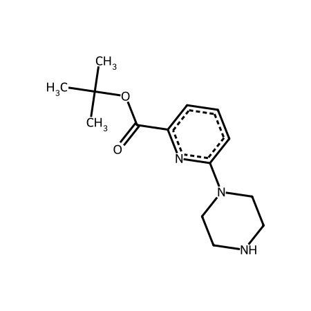 CC(C)(C)OC(=O)c1cccc(N2CCNCC2)n1